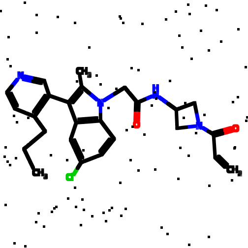 C=CC(=O)N1CC(NC(=O)Cn2c(C)c(-c3cnccc3CCC)c3cc(Cl)ccc32)C1